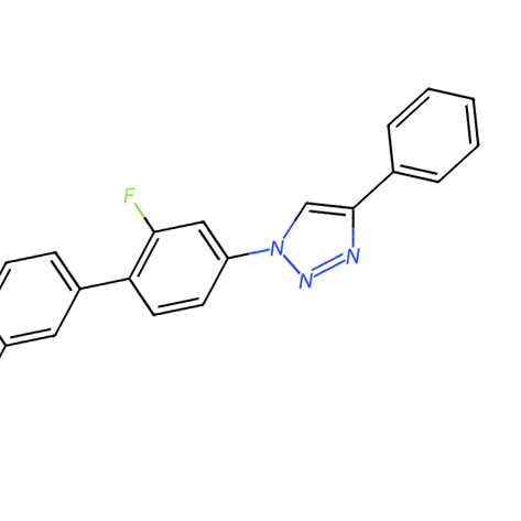 Fc1cc(-n2cc(-c3ccccc3)nn2)ccc1-c1cccc(Cl)c1